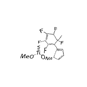 CC1(F)C(C2=CC=CC2)=C(F)C(F)=C(F)C1F.C[O][Ti](=[S])[O]C